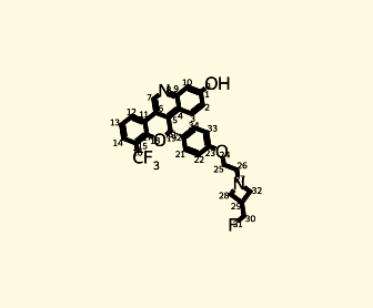 Oc1ccc2c3c(cnc2c1)-c1cccc(C(F)(F)F)c1O[C@H]3c1ccc(OCCN2CC(CF)C2)cc1